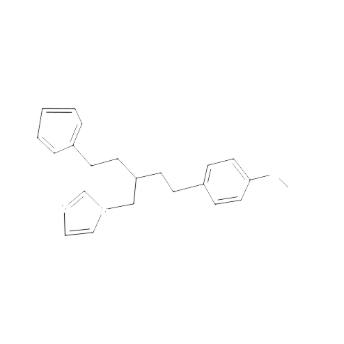 COc1ccc(CCC(CCc2ccccc2)Cn2ccnc2)cc1